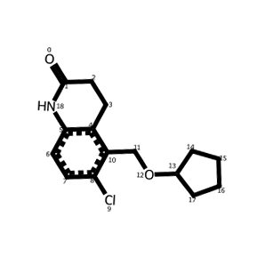 O=C1CCc2c(ccc(Cl)c2COC2CCCC2)N1